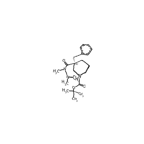 CN(C)N(C)C(=O)[C@@]1(Cc2ccccc2)CCCN(C(=O)OC(C)(C)C)C1